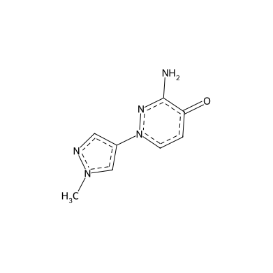 Cn1cc(-n2ccc(=O)c(N)n2)cn1